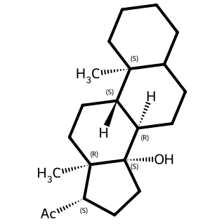 CC(=O)[C@H]1CC[C@]2(O)[C@@H]3CCC4CCCC[C@]4(C)[C@H]3CC[C@]12C